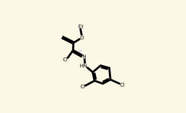 C=C(OCC)/C(Cl)=N/Nc1ccc(Cl)cc1Cl